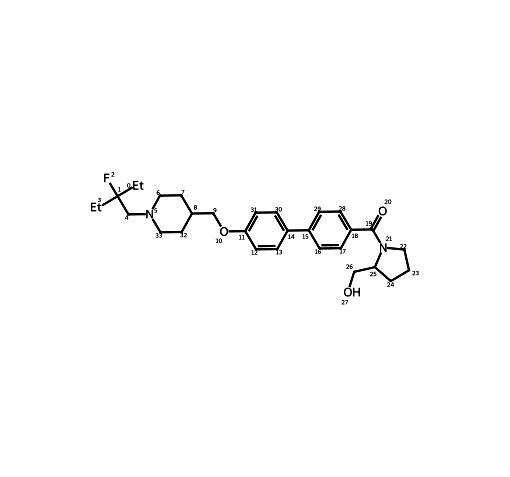 CCC(F)(CC)CN1CCC(COc2ccc(-c3ccc(C(=O)N4CCCC4CO)cc3)cc2)CC1